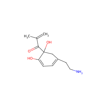 C=C(C)C(=O)C1(O)CC(CCN)=CC=C1O